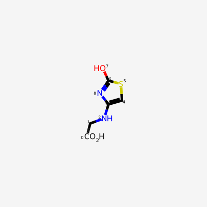 O=C(O)CNc1csc(O)n1